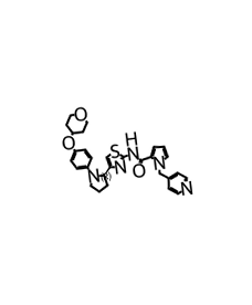 O=C(Nc1nc([C@H]2CCCN2c2ccc(OC3CCOCC3)cc2)cs1)c1cccn1Cc1ccncc1